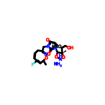 COC(CO)[C@@]1(C)ONOC1n1ccc(=O)n(C/C2=N/OC(C)/C=C(F)\C=C/C2)c1=O.N